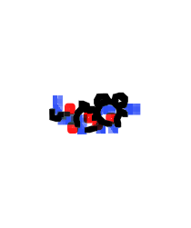 O=C(N[C@H]1Cc2ccc3c(c2)C24c5cccc(c5NC2O3)-c2cccc3[nH]cc(c23)-c2cnc(o2)-c2nc(oc24)CNC1=O)[C@@H]1CCCN1